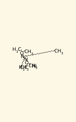 CCCCCCCCCCCCCCCCCCCCC=CC(=Nc1ccc(CC)c(CC)c1)C(CCCCCC)=Nc1ccc(CC)c(CC)c1.[Ni]